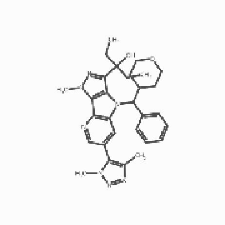 CCC(O)(CC)c1nn(C)c2c3ncc(-c4c(C)nnn4C)cc3n(C(c3ccccc3)C3CCOCC3)c12